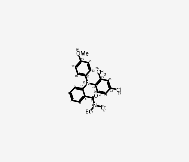 CCN(CC)C(=O)c1ccccc1N(c1ccc(OC)cc1)c1ccc(Cl)cc1C